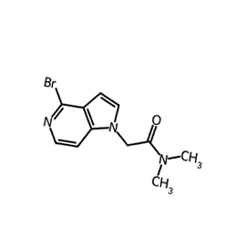 CN(C)C(=O)Cn1ccc2c(Br)nccc21